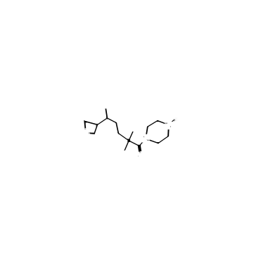 CC(CCC(C)(C)C(=O)N1CCN(C(C)C)CC1)C1COC1